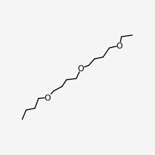 CCCCOCCCCOCCCCOCC